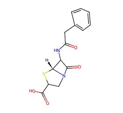 O=C(Cc1ccccc1)NC1C(=O)N2CC(C(=O)O)S[C@H]12